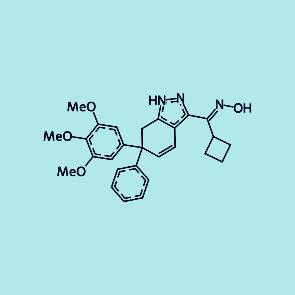 COc1cc(C2(c3ccccc3)C=Cc3c(/C(=N/O)C4CCC4)n[nH]c3C2)cc(OC)c1OC